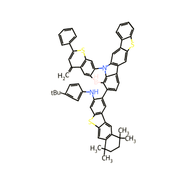 C=C1C=C(c2ccccc2)Sc2cc3c(cc21)Bc1c(-c2cc4c(cc2Nc2ccc(C(C)(C)C)cc2)sc2cc5c(cc24)C(C)(C)CCC5(C)C)ccc2c4cc5sc6ccccc6c5cc4n-3c12